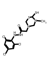 CN1CN(CC(=O)NNc2c(Cl)cc(Cl)cc2Cl)CSC1S